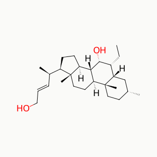 CC[C@H]1[C@@H](O)[C@@H]2[C@H](CC[C@]3(C)[C@@H]([C@H](C)/C=C/CO)CC[C@@H]23)[C@@]2(C)CC[C@@H](C)C[C@@H]12